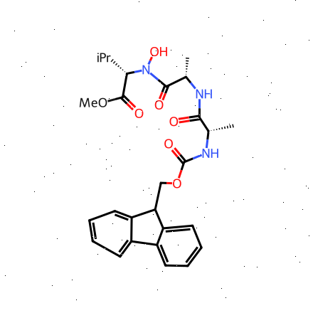 COC(=O)[C@H](C(C)C)N(O)C(=O)[C@H](C)NC(=O)[C@H](C)NC(=O)OCC1c2ccccc2-c2ccccc21